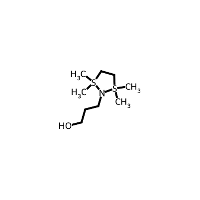 CS1(C)CCS(C)(C)N1CCCO